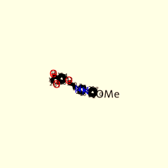 COc1ccc(N2CCN(CCCOc3ccc4c(=O)ccoc4c3)CC2)cc1